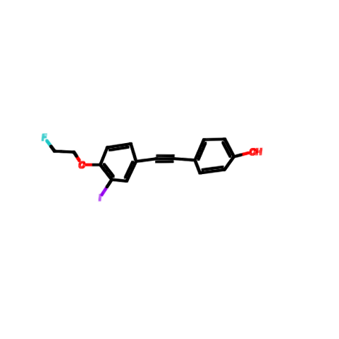 Oc1ccc(C#Cc2ccc(OCCF)c(I)c2)cc1